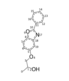 CC(O)COc1ccc2oc(-c3ccccc3)nc2c1